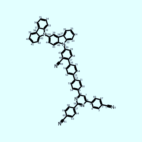 N#Cc1ccc(-c2cc(-c3ccc(-c4ccc(-c5ccc(-n6c7ccccc7c7cc(-n8c9ccccc9c9ccccc98)ccc76)cc5C#N)cc4)cc3)nc(-c3ccc(C#N)cc3)n2)cc1